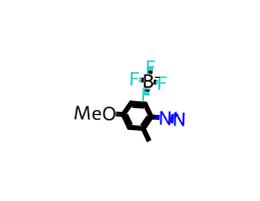 COc1ccc([N+]#N)c(C)c1.F[B-](F)(F)F